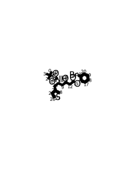 CC(C)(C)S(=O)(=O)NC(CC(=O)CC(=O)Oc1ccccc1Br)Cc1ccsc1